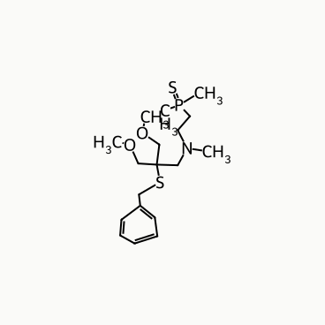 COCC(COC)(CN(C)CCP(C)(C)=S)SCc1ccccc1